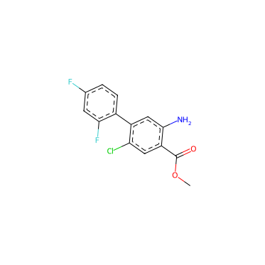 COC(=O)c1cc(Cl)c(-c2ccc(F)cc2F)cc1N